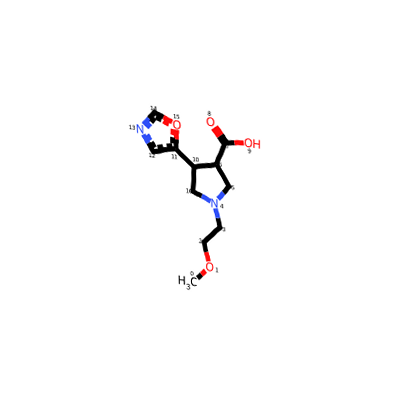 COCCN1CC(C(=O)O)C(c2cnco2)C1